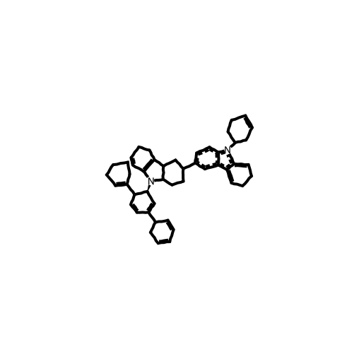 C1=CCC(C2=C[C@H](N3C4=C(CCC=C4)C4CC(c5ccc6c(c5)c5c(n6C6CC=CCC6)=CCCC=5)CCC43)C(C3=CCCCC3)C=C2)C=C1